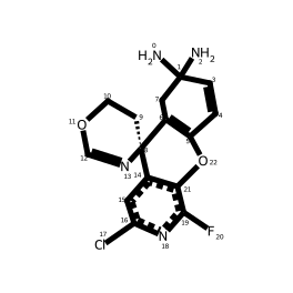 NC1(N)C=CC2=C(C1)[C@@]1(CCOC=N1)c1cc(Cl)nc(F)c1O2